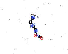 Cn1cc(-c2cccc(-c3ncc(-c4cnn(CCC(=O)N5CC6(COC6)C5)c4)cn3)c2)cn1